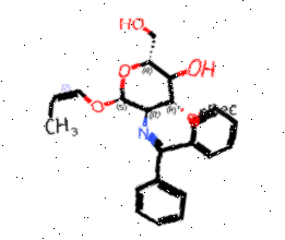 C/C=C\O[C@H]1O[C@H](CO)C(O)[C@H](OCCCCCCCCCC)[C@H]1N=C(c1ccccc1)c1ccccc1